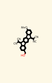 [C-]#[N+]/C(C#N)=C1/c2ccc(OC)cc2-c2cc3c(cc21)-c1cc(CO)ccc1/C3=C(/C#N)[N+]#[C-]